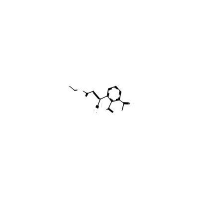 CCOC(=O)C=C(C#N)c1cccc(C(=O)O)c1C(=O)O